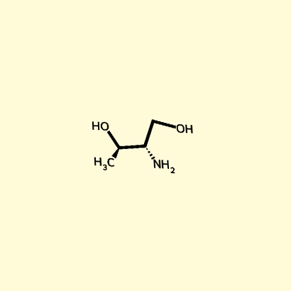 C[C@@H](O)[C@@H](N)CO